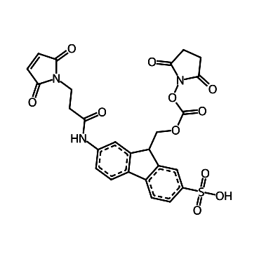 O=C(CCN1C(=O)C=CC1=O)Nc1ccc2c(c1)C(COC(=O)ON1C(=O)CCC1=O)c1cc(S(=O)(=O)O)ccc1-2